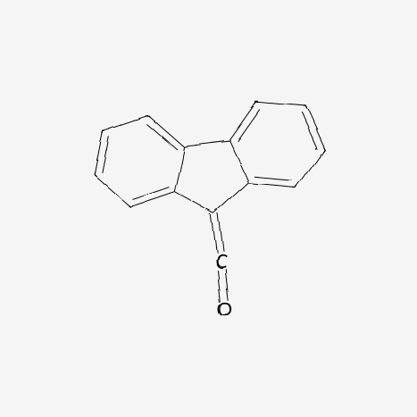 O=C=C1c2ccccc2-c2ccccc21